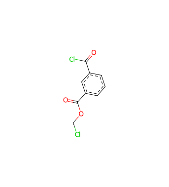 O=C(Cl)c1cccc(C(=O)OCCl)c1